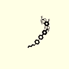 CCCCC[C@H]1CC[C@H](C2CCC(c3ccc(C(F)(F)Oc4cc(F)c(OC(F)F)c(F)c4)cc3)CC2)CC1